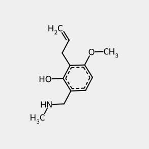 C=CCc1c(OC)ccc(CNC)c1O